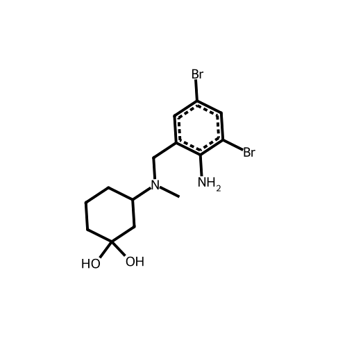 CN(Cc1cc(Br)cc(Br)c1N)C1CCCC(O)(O)C1